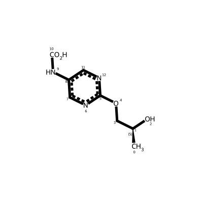 C[C@H](O)COc1ncc(NC(=O)O)cn1